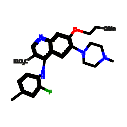 CCOC(=O)c1cnc2cc(OCCOC)c(N3CCN(C)CC3)cc2c1Nc1ccc(C)cc1F